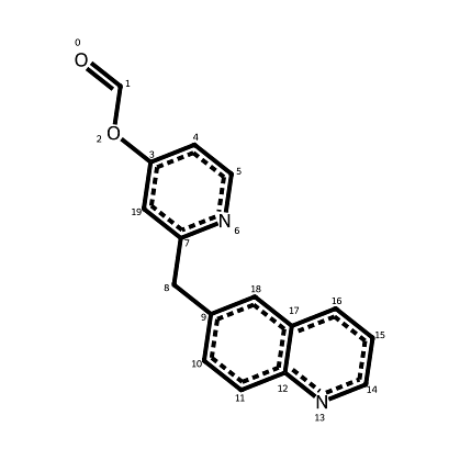 O=COc1ccnc(Cc2ccc3ncccc3c2)c1